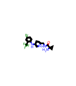 NC1(C(=O)NCc2ccc(Nc3ccc(Br)cc3C(F)(F)F)cn2)CC1